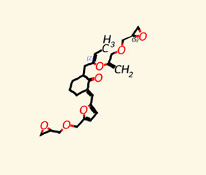 C=C(COC[C@H]1CO1)O/C(=C\C)CC1CCCC(=Cc2ccc(COCC3CO3)o2)C1=O